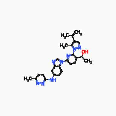 C=C(C)c1cnn(-c2nc(-n3cnc4cc(Nc5ccc(C)nn5)ccc43)ccc2C(C)O)c1C